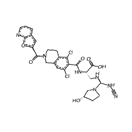 N#CNC(NC[C@H](NC(=O)c1c(Cl)cc2c(c1Cl)CCN(C(=O)c1cc3cccnc3o1)C2)C(=O)O)N1CC[C@H](O)C1